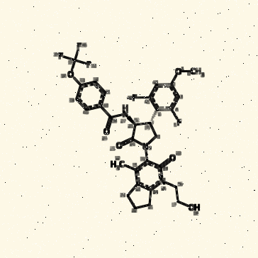 COc1cc(F)c([C@@H]2CN(c3c(C)c4c(n(CCO)c3=O)CCC4)C(=O)[C@H]2NC(=O)c2ccc(OC(F)(F)F)cc2)c(F)c1